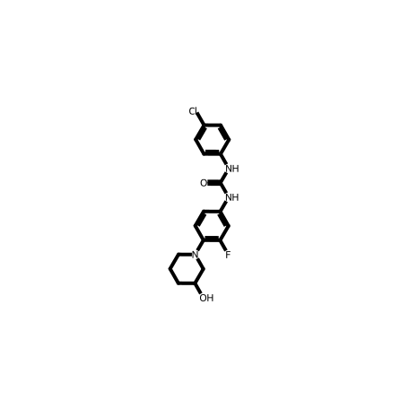 O=C(Nc1ccc(Cl)cc1)Nc1ccc(N2CCCC(O)C2)c(F)c1